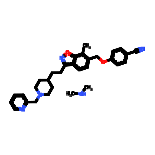 CNC.Cc1c(COc2ccc(C#N)cc2)ccc2c(CCC3CCN(Cc4ccccn4)CC3)noc12